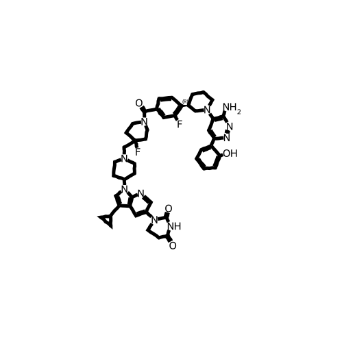 Nc1nnc(-c2ccccc2O)cc1N1CCC[C@H](c2ccc(C(=O)N3CCC(F)(CN4CCC(n5cc(C6CC6)c6cc(N7CCC(=O)NC7=O)cnc65)CC4)CC3)cc2F)C1